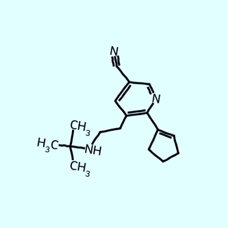 CC(C)(C)NCCc1cc(C#N)cnc1C1=CCCC1